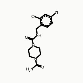 NC(=O)N1CCN(C(=O)NCc2ccc(Cl)cc2Cl)CC1